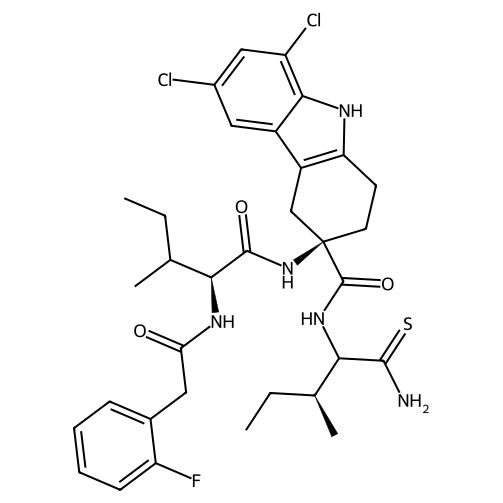 CCC(C)[C@H](NC(=O)Cc1ccccc1F)C(=O)N[C@]1(C(=O)NC(C(N)=S)[C@@H](C)CC)CCc2[nH]c3c(Cl)cc(Cl)cc3c2C1